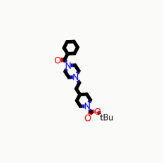 CC(C)(C)OC(=O)N1CCC(CCN2CCN(C(=O)C3CCCCC3)CC2)CC1